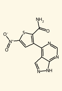 NC(=O)c1sc([N+](=O)[O-])cc1-c1ncnc2[nH]ncc12